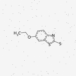 CCOc1ccc2nc([S])sc2c1